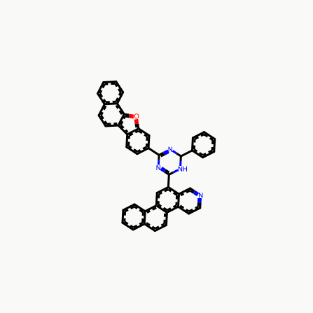 c1ccc(C2N=C(c3ccc4c(c3)oc3c5ccccc5ccc43)N=C(c3cc4c5ccccc5ccc4c4ccncc34)N2)cc1